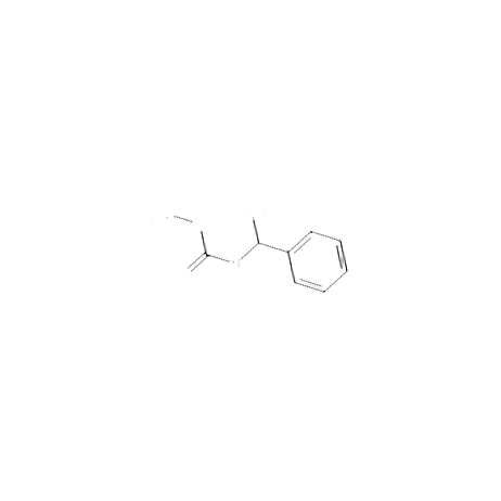 CCCCOC(=O)NC([C]=O)c1ccccc1